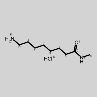 CNC(=O)CCCCCCCN.Cl